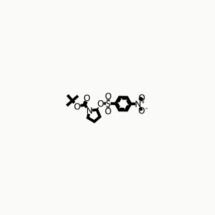 CC(C)(C)OC(=O)N1CCC[C@H]1OS(=O)(=O)c1ccc([N+](=O)[O-])cc1